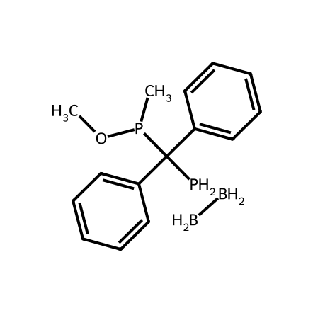 BB.COP(C)C(P)(c1ccccc1)c1ccccc1